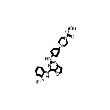 CC(C)Sc1ccccc1Nc1nc(Nc2ccc(N3CCN(C(=O)OC(C)(C)C)CC3)cc2)nc2ccsc12